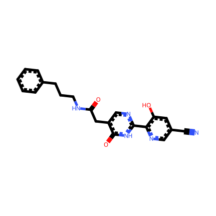 N#Cc1cnc(-c2ncc(CC(=O)NCCCc3ccccc3)c(=O)[nH]2)c(O)c1